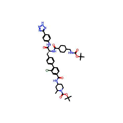 CC1CC(NC(=O)c2ccc(-c3ccc(C[C@H](NC(=O)C4CCC(CNC(=O)OC(C)(C)C)CC4)C(=O)Nc4ccc(-c5nn[nH]n5)cc4)cc3)c(Cl)c2)CCN1C(=O)OC(C)(C)C